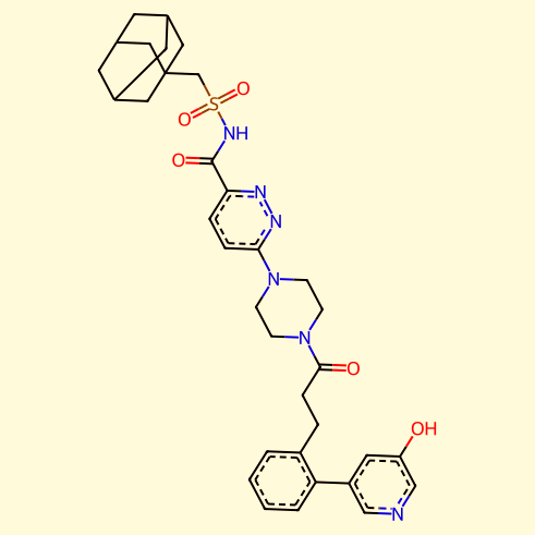 O=C(NS(=O)(=O)CC12CC3CC(CC(C3)C1)C2)c1ccc(N2CCN(C(=O)CCc3ccccc3-c3cncc(O)c3)CC2)nn1